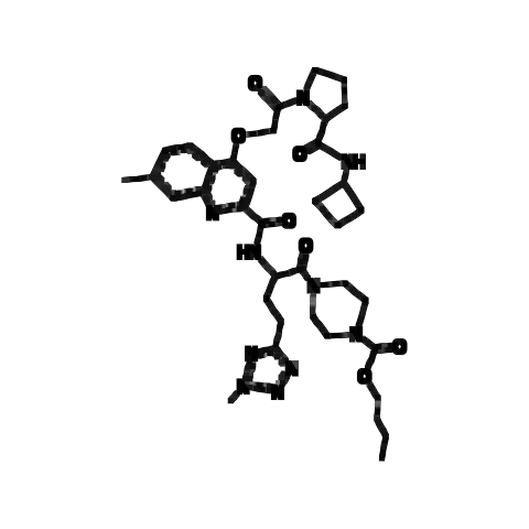 CCCCOC(=O)N1CCN(C(=O)C(CCc2nnn(C)n2)NC(=O)c2cc(OCC(=O)N3CCCC3C(=O)NC3CCC3)c3ccc(C)cc3n2)CC1